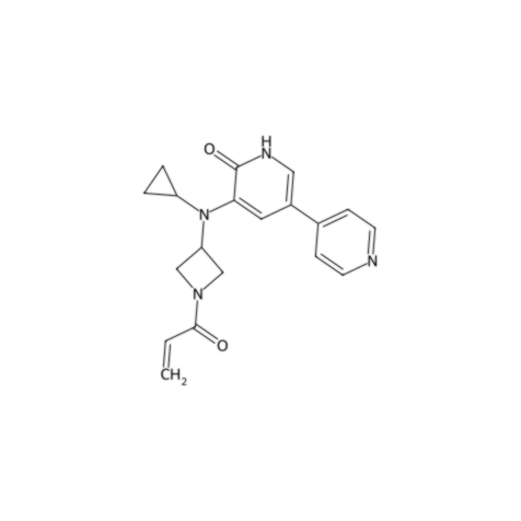 C=CC(=O)N1CC(N(c2cc(-c3ccncc3)c[nH]c2=O)C2CC2)C1